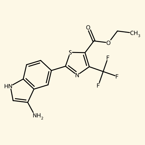 CCOC(=O)c1sc(-c2ccc3[nH]cc(N)c3c2)nc1C(F)(F)F